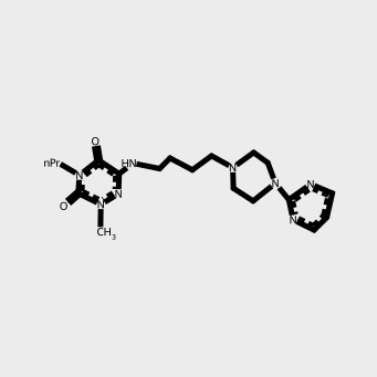 CCCn1c(=O)c(NCCCCN2CCN(c3ncccn3)CC2)nn(C)c1=O